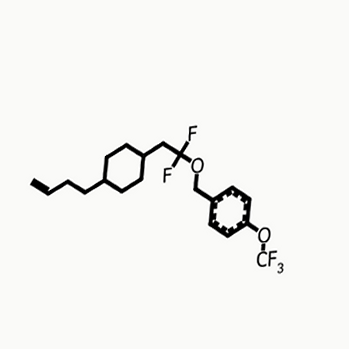 C=CCCC1CCC(CC(F)(F)OCc2ccc(OC(F)(F)F)cc2)CC1